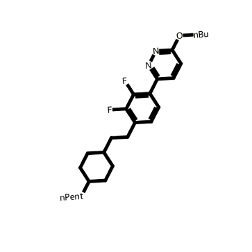 CCCCCC1CCC(CCc2ccc(-c3ccc(OCCCC)nn3)c(F)c2F)CC1